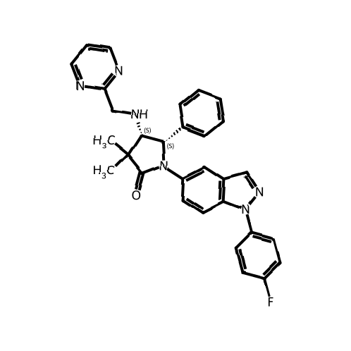 CC1(C)C(=O)N(c2ccc3c(cnn3-c3ccc(F)cc3)c2)[C@@H](c2ccccc2)[C@H]1NCc1ncccn1